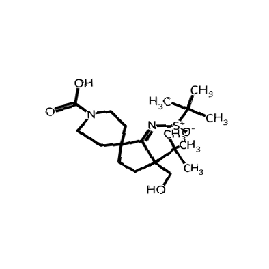 CC(C)(C)[S@@+]([O-])N=C1C2(CCN(C(=O)O)CC2)CCC1(CO)C(C)(C)C